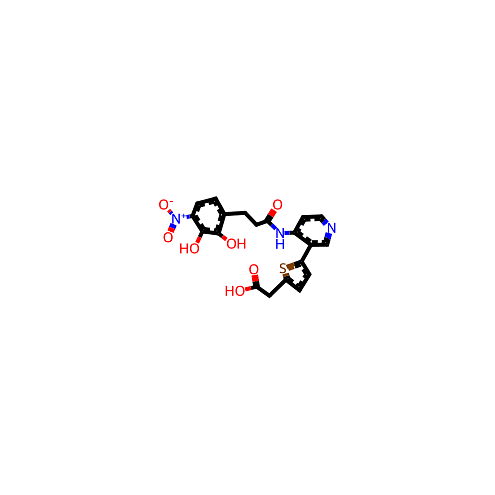 O=C(O)Cc1ccc(-c2cnccc2NC(=O)CCc2ccc([N+](=O)[O-])c(O)c2O)s1